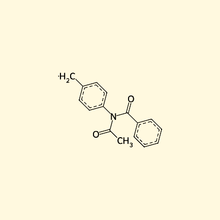 [CH2]c1ccc(N(C(C)=O)C(=O)c2ccccc2)cc1